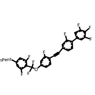 CCCCCc1cc(F)c(C(F)(F)Oc2ccc(C#Cc3ccc(-c4cc(F)c(F)c(F)c4)c(F)c3)c(F)c2)c(F)c1